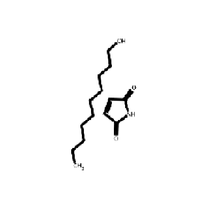 CCCCCCCCCCO.O=C1C=CC(=O)N1